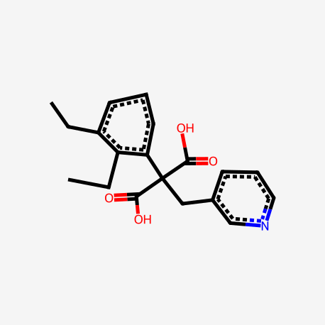 CCc1cccc(C(Cc2cccnc2)(C(=O)O)C(=O)O)c1CC